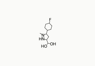 CN1NC(C(O)O)CC1C1CCC(F)CC1